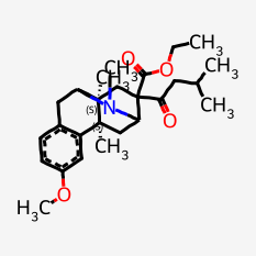 CCOC(=O)C1(C(=O)CC(C)C)C[C@]2(C)C3Cc4ccc(OC)cc4[C@]2(C)CC1N3C